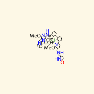 COc1nc(-c2cccc(-c3cccc4c3CC[C@@H]4Nc3nc(OC)c(CN4CCC5CC4(C(=O)O)C5)nc3C(F)(F)F)c2Cl)ccc1CNC[C@@H]1CCC(=O)N1